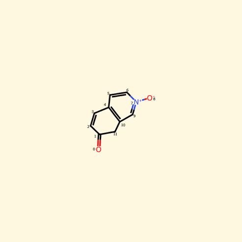 O=C1C=Cc2cc[n+]([O-])cc2C1